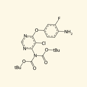 CC(C)(C)OC(=O)N(C(=O)OC(C)(C)C)c1ncnc(Oc2ccc(N)c(F)c2)c1Cl